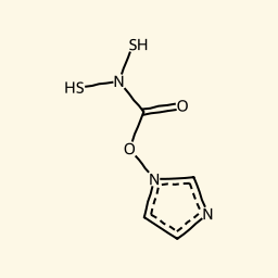 O=C(On1ccnc1)N(S)S